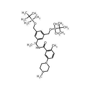 Cc1ccc(N2CCN(C)CC2)cc1C(=O)N[C@H](C)c1cc(CO[Si](C)(C)C(C)(C)C)cc(CO[Si](C)(C)C(C)(C)C)c1